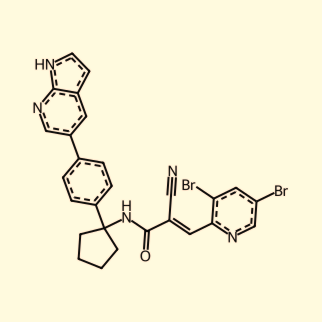 N#CC(=Cc1ncc(Br)cc1Br)C(=O)NC1(c2ccc(-c3cnc4[nH]ccc4c3)cc2)CCCC1